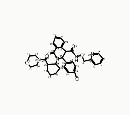 O=C(NOCc1ccccn1)C1c2ccccc2C(=O)N(C2CCCCC2C(=O)N2CCOCC2)C1c1ccc(Cl)cc1